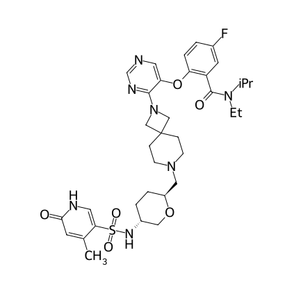 CCN(C(=O)c1cc(F)ccc1Oc1cncnc1N1CC2(CCN(C[C@@H]3CC[C@@H](NS(=O)(=O)c4c[nH]c(=O)cc4C)CO3)CC2)C1)C(C)C